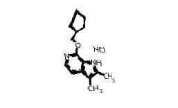 Cc1[nH]c2c(OCC3CCCC3)nccc2c1C.Cl